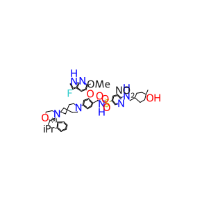 COc1nc2[nH]cc(F)c2cc1Oc1cc(N2CCC3(CC2)CC(N2CCOC(C)[C@H]2c2ccccc2C(C)C)C3)ccc1C(=O)NS(=O)(=O)c1cnc(NCC2CCC(C)(O)CC2)c([N+](=O)[O-])c1